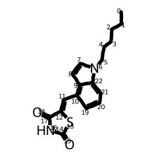 CCCCCCn1ccc2c(C=C3SC(=O)NC3=O)cccc21